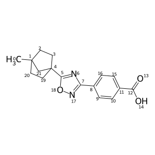 CC12CCC(c3nc(-c4ccc(C(=O)O)cc4)no3)(CC1)C2